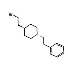 BrCC[C@H]1CC[C@H](CCc2ccccc2)CC1